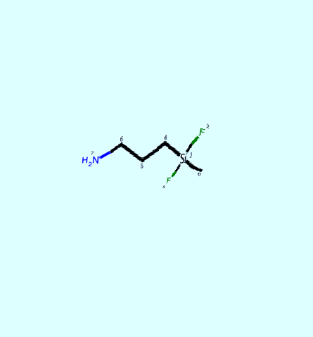 C[Si](F)(F)CCCN